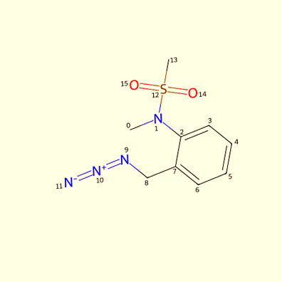 CN(c1ccccc1CN=[N+]=[N-])S(C)(=O)=O